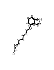 S=C=NCCCCSCOc1cccc2[nH]ncc12